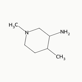 CC1CCN(C)CC1N